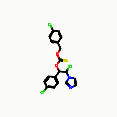 S=C(OCc1ccc(Cl)cc1)OC(c1ccc(Cl)cc1)C(Cl)n1ccnc1